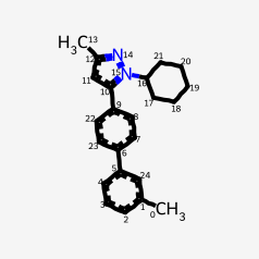 Cc1cccc(-c2ccc(-c3cc(C)nn3C3CCCCC3)cc2)c1